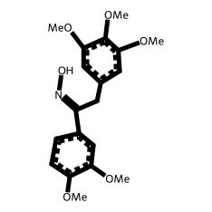 COc1ccc(C(Cc2cc(OC)c(OC)c(OC)c2)=NO)cc1OC